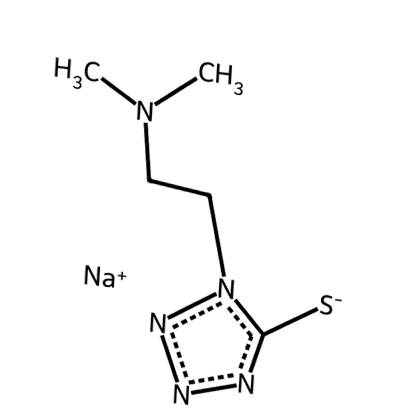 CN(C)CCn1nnnc1[S-].[Na+]